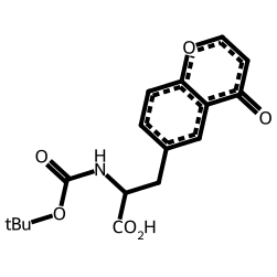 CC(C)(C)OC(=O)NC(Cc1ccc2occc(=O)c2c1)C(=O)O